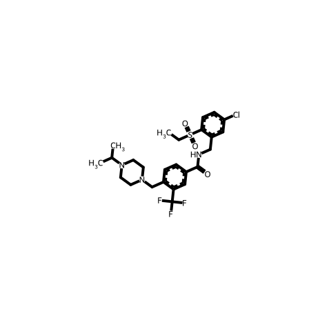 CCS(=O)(=O)c1ccc(Cl)cc1CNC(=O)c1ccc(CN2CCN(C(C)C)CC2)c(C(F)(F)F)c1